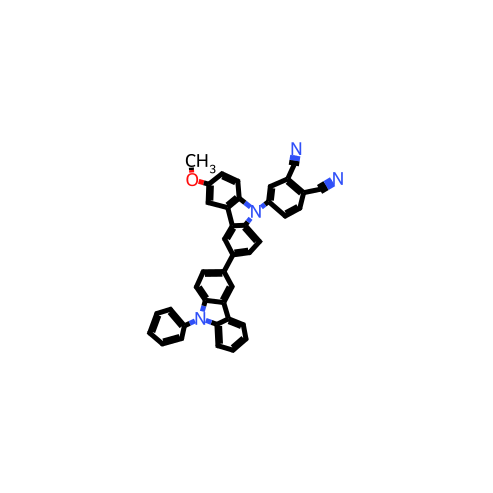 COc1ccc2c(c1)c1cc(-c3ccc4c(c3)c3ccccc3n4-c3ccccc3)ccc1n2-c1ccc(C#N)c(C#N)c1